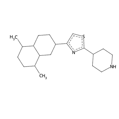 CC1CCC(C)C2CC(c3csc(C4CCNCC4)n3)CCC12